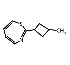 CC1CC(C2=NC=CC=CS2)C1